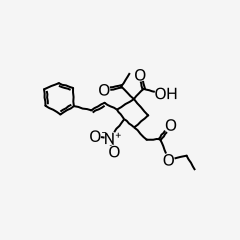 CCOC(=O)CC1CC(C(C)=O)(C(=O)O)C(/C=C/c2ccccc2)C1[N+](=O)[O-]